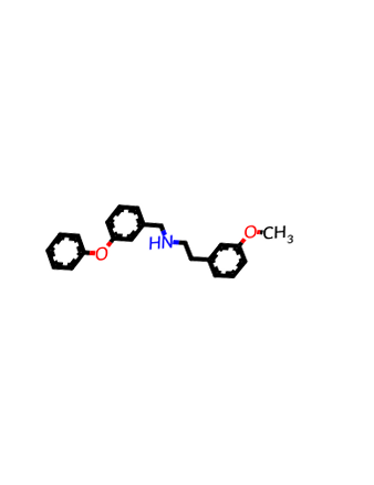 COc1cccc(CCNCc2cccc(Oc3ccccc3)c2)c1